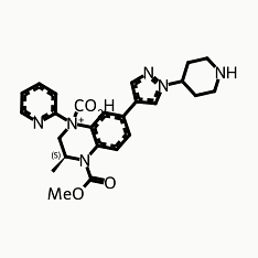 COC(=O)N1c2ccc(-c3cnn(C4CCNCC4)c3)cc2[N+](C(=O)O)(c2ccccn2)C[C@@H]1C